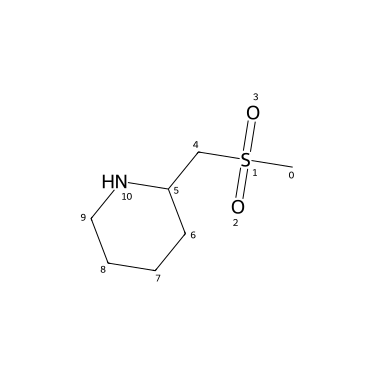 CS(=O)(=O)CC1CCCCN1